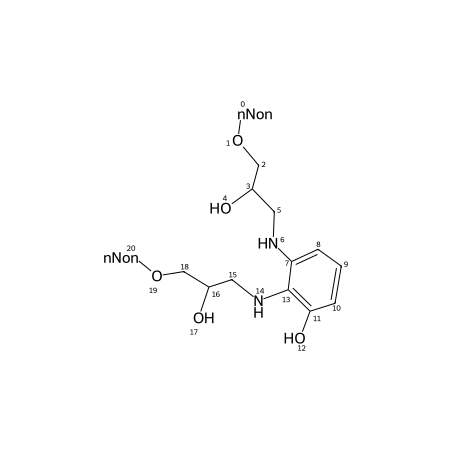 CCCCCCCCCOCC(O)CNc1cccc(O)c1NCC(O)COCCCCCCCCC